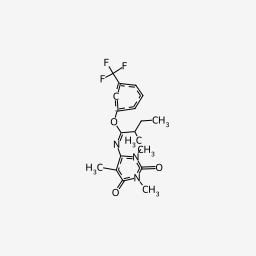 CCC(C)/C(=N\c1c(C)c(=O)n(C)c(=O)n1C)Oc1cccc(C(F)(F)F)c1